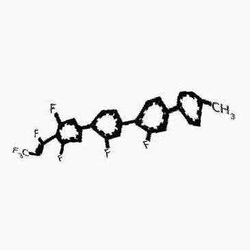 Cc1ccc(-c2ccc(-c3ccc(-c4cc(F)c(/C(F)=C/C(F)(F)F)c(F)c4)c(F)c3)c(F)c2)cc1